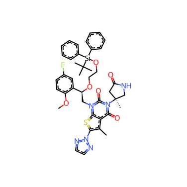 COc1ccc(F)cc1[C@H](Cn1c(=O)n([C@]2(C)CNC(=O)C2)c(=O)c2c(C)c(-n3nccn3)sc21)OCCO[Si](c1ccccc1)(c1ccccc1)C(C)(C)C